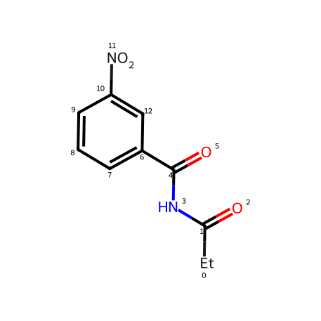 CCC(=O)NC(=O)c1cccc([N+](=O)[O-])c1